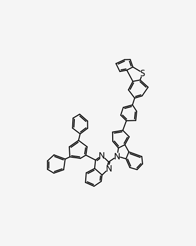 c1ccc(-c2cc(-c3ccccc3)cc(-c3nc(-n4c5ccccc5c5cc(-c6ccc(-c7ccc8sc9ccccc9c8c7)cc6)ccc54)nc4ccccc34)c2)cc1